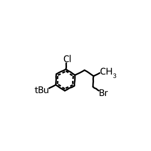 CC(CBr)Cc1ccc(C(C)(C)C)cc1Cl